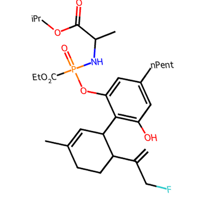 C=C(CF)C1CCC(C)=CC1c1c(O)cc(CCCCC)cc1OP(=O)(NC(C)C(=O)OC(C)C)C(=O)OCC